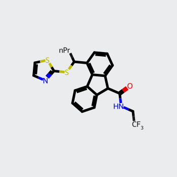 CCCC(Sc1nccs1)c1cccc2c1-c1ccccc1C2C(=O)NCC(F)(F)F